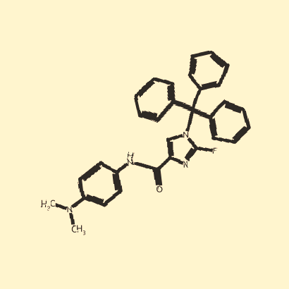 CN(C)c1ccc(NC(=O)c2cn(C(c3ccccc3)(c3ccccc3)c3ccccc3)c(F)n2)cc1